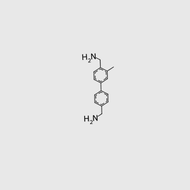 Cc1cc(-c2ccc(CN)cc2)ccc1CN